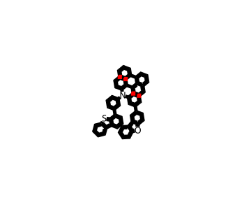 c1ccc(-c2cccc3cccc(-c4ccccc4N(c4cccc(-c5ccc6oc7ccccc7c6c5)c4)c4cccc(-c5cccc6c5sc5ccccc56)c4)c23)cc1